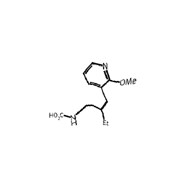 CCC(CNC(=O)O)Cc1cccnc1OC